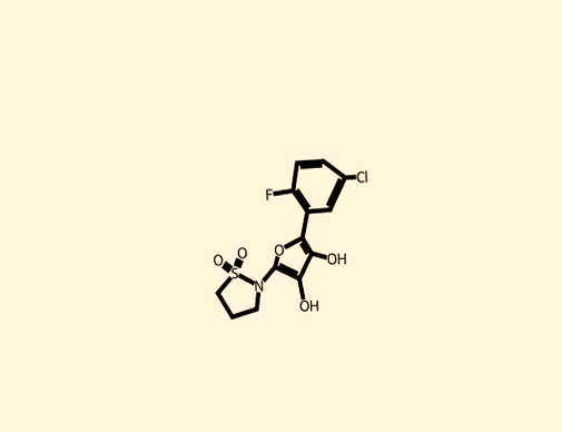 O=S1(=O)CCCN1c1oc(-c2cc(Cl)ccc2F)c(O)c1O